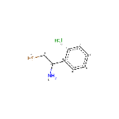 Cl.NC(CS)c1ccccc1